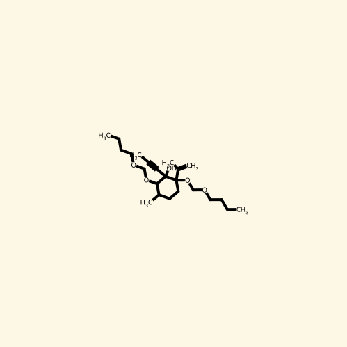 C=C(C)C1(OCOCCCC)CCC(C)C(OCOCCCC)C1(O)C#CC